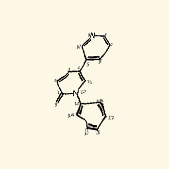 C=C1C=CC(c2cccnc2)=CN1c1ccccc1